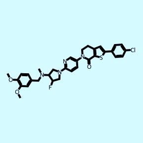 COc1ccc(CN(C)C2CN(c3ccc(N4CCc5cc(-c6ccc(Cl)cc6)sc5C4=O)cn3)CC2F)cc1OC